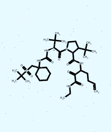 C=CCCC(NC(=O)C1C(C(C)(C)C)CCN1C(=O)[C@@H](NC(=O)NC1(CS(=O)(=O)C(C)(C)C)CCCCC1)C(C)(C)C)C(=O)C(=O)NCC